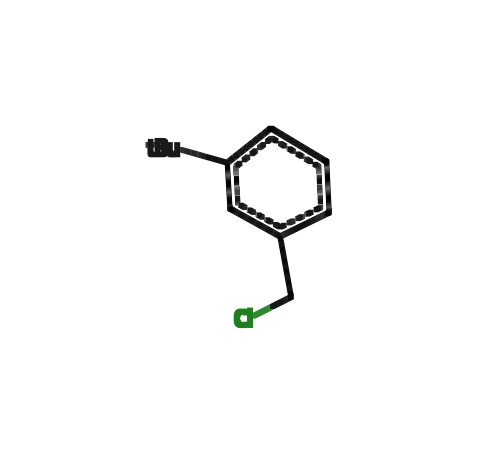 CC(C)(C)c1cccc(CCl)c1